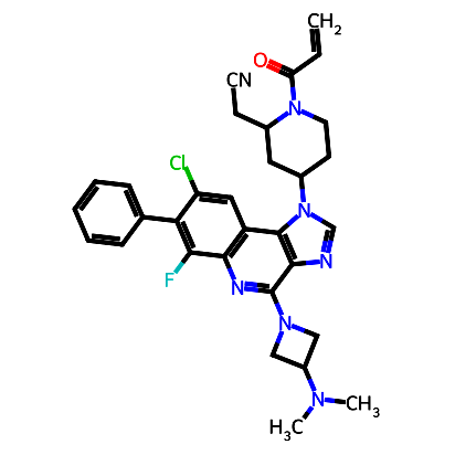 C=CC(=O)N1CCC(n2cnc3c(N4CC(N(C)C)C4)nc4c(F)c(-c5ccccc5)c(Cl)cc4c32)CC1CC#N